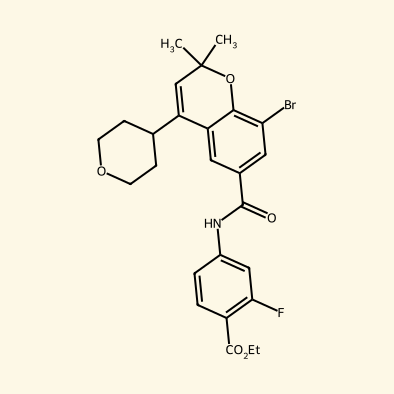 CCOC(=O)c1ccc(NC(=O)c2cc(Br)c3c(c2)C(C2CCOCC2)=CC(C)(C)O3)cc1F